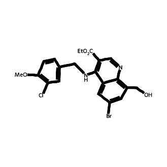 CCOC(=O)c1cnc2c(CO)cc(Br)cc2c1NCc1ccc(OC)c(Cl)c1